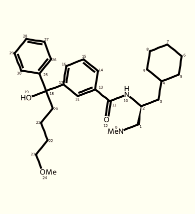 CNC[C@H](CC1CCCCC1)NC(=O)c1cccc(C(O)(CCCCOC)c2ccccc2)c1